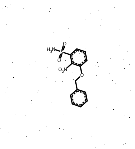 NS(=O)(=O)c1cccc(OCc2ccccc2)c1[N+](=O)[O-]